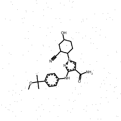 COC(C)(C)c1ccc(Nc2nn(C3CCC(O)CC3C#N)cc2C(N)=O)cc1